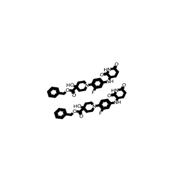 O=C1CCC(Nc2ccc(N3CCC(O)(C(=O)OCc4ccccc4)CC3)c(F)c2)C(=O)N1.O=C1CCC(Nc2ccc(N3CCC(O)(C(=O)OCc4ccccc4)CC3)c(F)c2)C(=O)N1